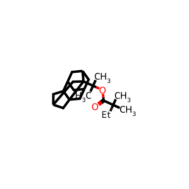 CCC(C)(C)C(=O)OC(C)(C)C12CC3CC4C5CC(CC1C5)CC42C3